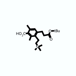 Cc1cc(CCC(=O)OC(C)(C)C)c(CC[Si](C)(C)C)c(C)c1C(=O)O